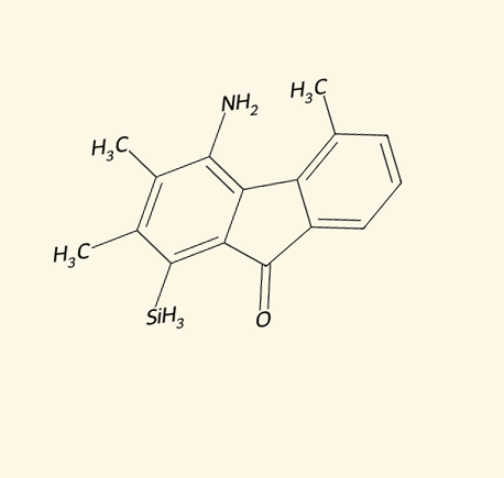 Cc1cccc2c1-c1c(N)c(C)c(C)c([SiH3])c1C2=O